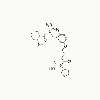 CC(O)N(C(=O)CCCOc1ccc2c(c1)CN(CC(=O)C1CCCCC1N(C)C)C(N)=N2)C1CCCC1